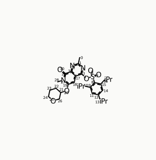 Cc1nc(OS(=O)(=O)c2c(C(C)C)cc(C(C)C)cc2C(C)C)c2cc(OC3CCCOC3)n(C)c(=O)c2n1